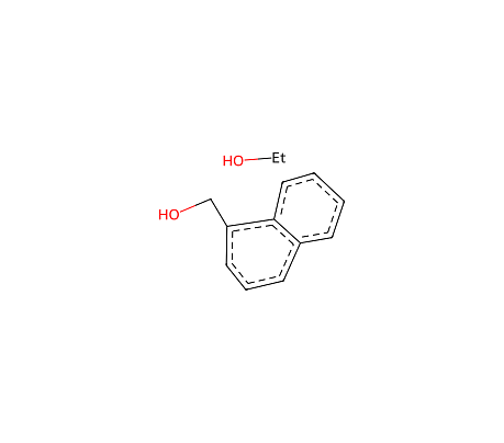 CCO.OCc1cccc2ccccc12